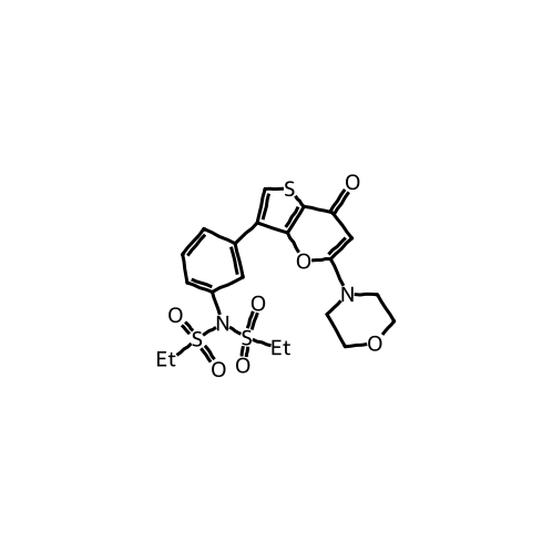 CCS(=O)(=O)N(c1cccc(-c2csc3c(=O)cc(N4CCOCC4)oc23)c1)S(=O)(=O)CC